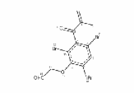 C=C(C)C(=O)c1c(Br)cc(CCC)c(OCC=O)c1Br